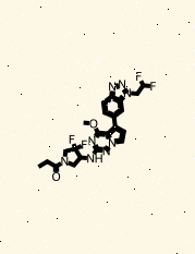 CCC(=O)N1CC(Nc2nc(OC)c3c(-c4ccc5nnn(CC(F)F)c5c4)ccn3n2)C(F)(F)C1